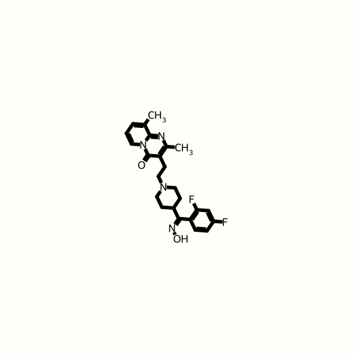 Cc1nc2c(C)cccn2c(=O)c1CCN1CCC(/C(=N/O)c2ccc(F)cc2F)CC1